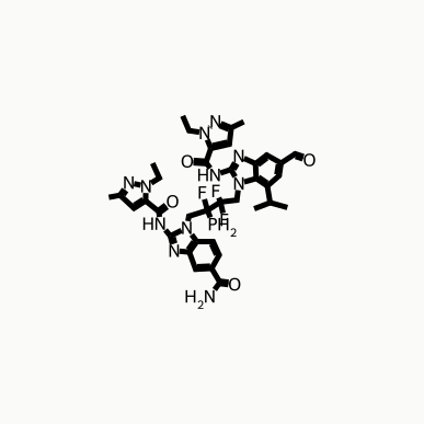 CCn1nc(C)cc1C(=O)Nc1nc2cc(C(N)=O)ccc2n1CC(F)(P)C(F)(F)Cn1c(NC(=O)c2cc(C)nn2CC)nc2cc(C=O)cc(C(C)C)c21